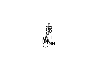 COc1c(F)cccc1S(=O)(=O)c1ccc(CNC(=O)c2cc3c([nH]2)C2(CCCCCCCCC2)CNC3)cc1